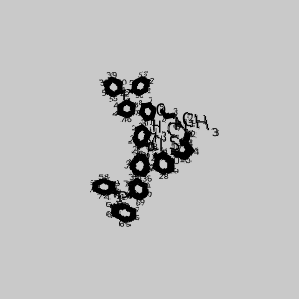 C[N+](C)(CCOc1ccccc1)Cc1cccs1.Cl[PH](c1ccccc1)(c1ccccc1)c1ccccc1.c1ccc(P(c2ccccc2)c2ccccc2)cc1.c1ccc(P(c2ccccc2)c2ccccc2)cc1